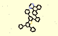 c1ccc(-c2cc(-c3ccccc3)c3sc4c(-c5ccccc5-c5ccc6c(c5)c5ccccc5c5nccnc65)cc(-c5ccccc5)cc4c3c2)cc1